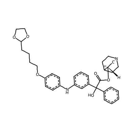 O=C(O[C@H]1CN2CCC1CC2)C(O)(c1ccccc1)c1cccc(Nc2ccc(OCCCCC3OCCO3)cc2)c1